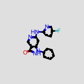 O=c1[nH]n(-c2ccccc2)c2cc(Nc3ccc(F)cn3)ncc12